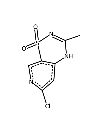 CC1=NS(=O)(=O)c2cnc(Cl)cc2N1